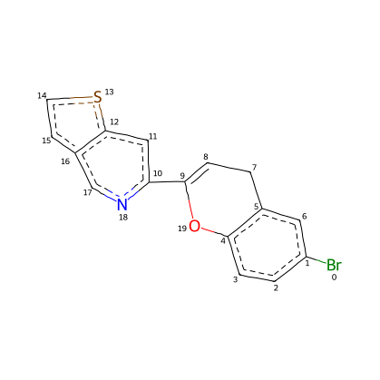 Brc1ccc2c(c1)CC=C(c1cc3sccc3cn1)O2